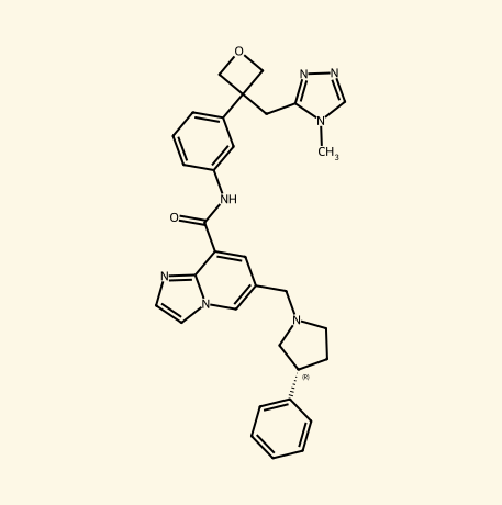 Cn1cnnc1CC1(c2cccc(NC(=O)c3cc(CN4CC[C@H](c5ccccc5)C4)cn4ccnc34)c2)COC1